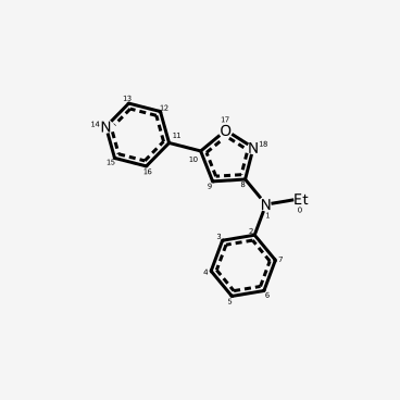 CCN(c1ccccc1)c1cc(-c2ccncc2)on1